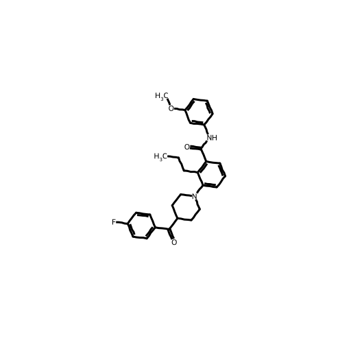 CCCc1c(C(=O)Nc2cccc(OC)c2)cccc1N1CCC(C(=O)c2ccc(F)cc2)CC1